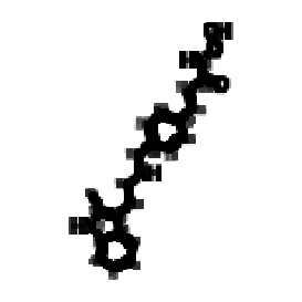 Cc1[nH]c2ccccc2c1CCNCc1ccc(/C=C/C(=O)NOO)cc1